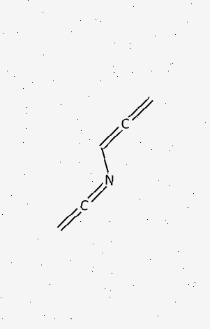 C=C=CN=C=C